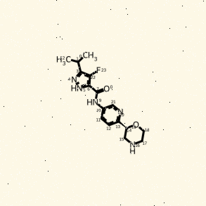 CC(C)c1n[nH]c(C(=O)Nc2ccc([C@@H]3CNCCO3)nc2)c1F